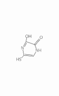 O=c1[nH]cc(S)nc1O